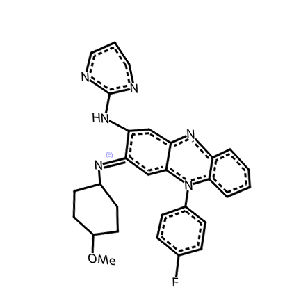 COC1CCC(/N=c2\cc3n(-c4ccc(F)cc4)c4ccccc4nc-3cc2Nc2ncccn2)CC1